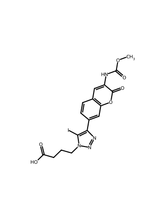 COC(=O)Nc1cc2ccc(-c3nnn(CCCC(=O)O)c3I)cc2oc1=O